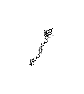 Cc1cc(C)c(C2=C(O)C3(CCC(OCCOCCN4CCN(CCOCCOCC(=O)OC(C)(C)C)CC4)CC3)OC2=O)c(C)c1